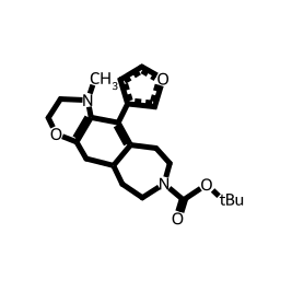 CN1CCOC2=C1C(c1ccoc1)=C1CCN(C(=O)OC(C)(C)C)CCC1C2